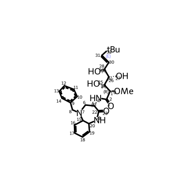 CO[C@@H](C(=O)N[C@H]1CN(Cc2ccccc2)C2C=CC=CC2NC1=O)[C@H](O)[C@@H](O)[C@H](O)/C=C/C(C)(C)C